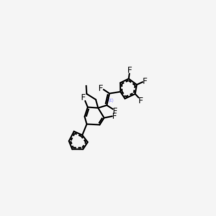 CCCC1(/C(F)=C(\F)c2cc(F)c(F)c(F)c2)C(F)=CC(c2ccccc2)C=C1F